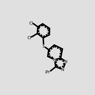 CC(C)c1nnc2ccc(Sc3cccc(Cl)c3Cl)cn12